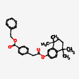 CC1(C)CCC(C)(C)c2cc(OC(=O)Cc3ccc(C(=O)OCc4ccccc4)cc3)ccc21